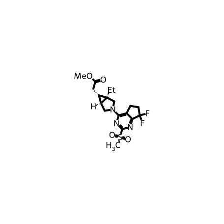 CC[C@]12CN(c3nc(S(C)(=O)=O)nc4c3CCC4(F)F)C[C@H]1[C@@H]2CC(=O)OC